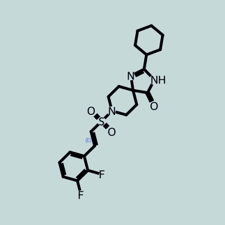 O=C1NC(C2CCCCC2)=NC12CCN(S(=O)(=O)/C=C/c1cccc(F)c1F)CC2